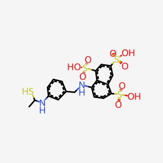 CC(S)Nc1cccc(CNc2ccc(S(=O)(=O)O)c3cc(S(=O)(=O)O)cc(S(=O)(=O)O)c23)c1